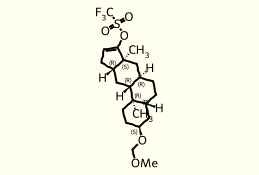 COCO[C@H]1CC[C@]2(C)[C@H](CC[C@@H]3C[C@]4(C)C(OS(=O)(=O)C(F)(F)F)=CC[C@H]4C[C@H]32)C1